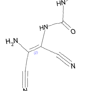 CNC(=O)N/C(C#N)=C(\N)C#N